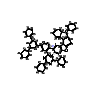 C=C/C(=C\c1c(C)oc2ccc3c(c4ccccc4n3-c3ccccc3)c12)c1ncc(-c2cc(-c3ccccc3)cc(-c3ccccc3)c2)cc1-c1nc(-c2ccccc2)nc(-c2ccccc2)n1